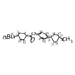 CCCCC1CCC(C(=O)Oc2ccc(C3CCC(C)CC3)cc2)CC1